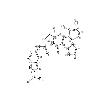 O=C(Nc1ccc2nn(C(F)F)cc2c1)[C@@H]1CC[C@H]2CC(c3c(-n4cnnn4)ccc(Cl)c3F)=CC(=O)N21